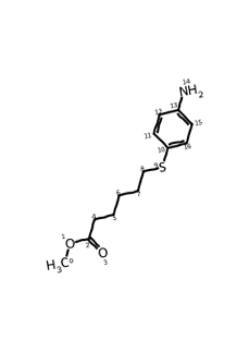 COC(=O)CCCCCSc1ccc(N)cc1